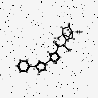 CC(C)N(C(=O)c1csc(-c2cnn(-c3ccccc3)c2)n1)C1C[C@H]2C[C@@H]1CN2